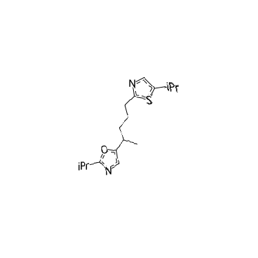 CC(C)c1ncc(C(C)CCCc2ncc(C(C)C)s2)o1